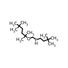 CC(C)(C)CCPCOC(C)(C)CCC(C)(C)C